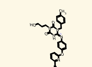 Cc1ccc(Cn2c(=O)n(CCCO)c(=O)[nH]/c2=N\c2ccc(Oc3cccc(C#N)n3)cc2)cc1